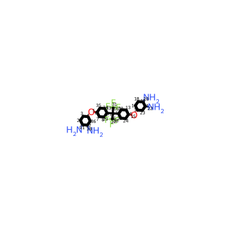 Nc1ccc(Oc2ccc(C(c3ccc(Oc4ccc(N)c(N)c4)cc3)(C(F)(F)F)C(F)(F)F)cc2)cc1N